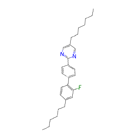 CCCCCCCc1cnc(-c2ccc(-c3ccc(CCCCCC)cc3F)cc2)nc1